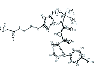 CC(=O)CCCCc1nc(N(C(=O)OC(=O)c2ncoc2-c2ccc(F)cc2)C(C)(C)C)co1